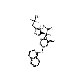 CC(C)(O)Cn1ccc(C(C)(C(N)=O)n2ncc(Oc3cccc4ncccc34)cc2=O)n1